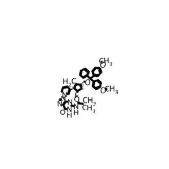 C=C1[C@H](C2=CN(n3cnc4c(=O)[nH]c(NC(=O)C(C)C)nc43)CC=C2)C(F)[CH][C@H]1COC(c1ccccc1)(c1ccc(OC)cc1)c1ccc(OC)cc1